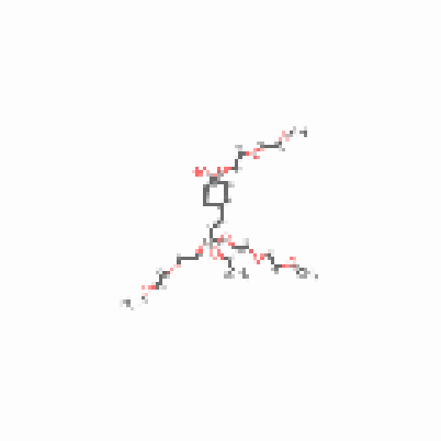 CCO[Si](CCC1CCC(O)(OCCOCCOC)CC1)(OCCOCCOC)OCCOCCOC